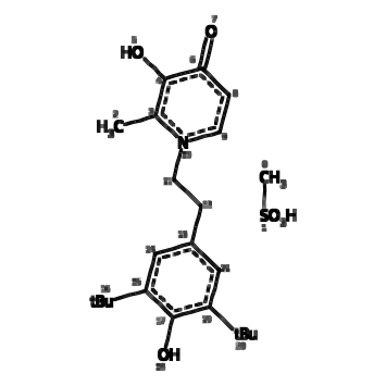 CS(=O)(=O)O.Cc1c(O)c(=O)ccn1CCc1cc(C(C)(C)C)c(O)c(C(C)(C)C)c1